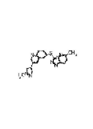 Cc1ccc2nnc(Sc3ccc4ncc(-c5cnn(C)c5)cc4c3)n2n1